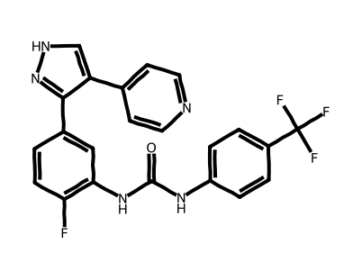 O=C(Nc1ccc(C(F)(F)F)cc1)Nc1cc(-c2n[nH]cc2-c2ccncc2)ccc1F